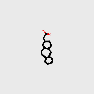 O=C(O)Cc1ccc2c(c1)CC=c1ccccc1=C2